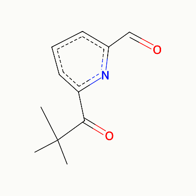 CC(C)(C)C(=O)c1cccc(C=O)n1